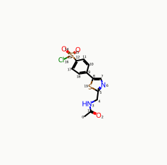 CC(=O)NCc1ncc(-c2ccc(S(=O)(=O)Cl)cc2)s1